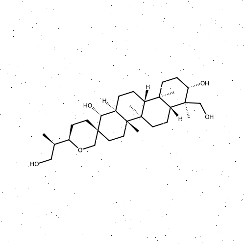 C[C@H](CO)[C@H]1CC[C@@]2(CC[C@]3(C)[C@H](CC[C@@H]4[C@@]5(C)CC[C@H](O)[C@@](C)(CO)[C@@H]5CC[C@]43C)[C@H]2O)CO1